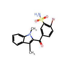 Cc1c(C(=O)c2ccc(Br)c(S(N)(=O)=O)c2)n(C)c2ccccc12